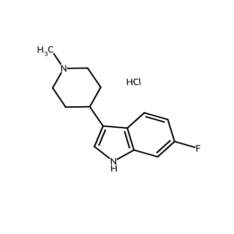 CN1CCC(c2c[nH]c3cc(F)ccc23)CC1.Cl